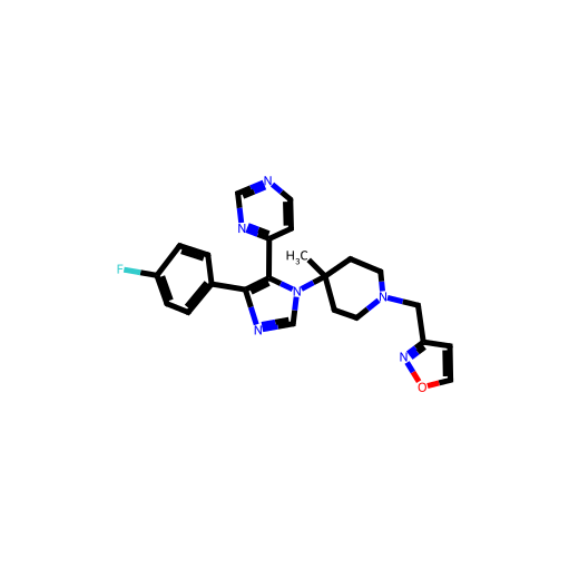 CC1(n2cnc(-c3ccc(F)cc3)c2-c2ccncn2)CCN(Cc2ccon2)CC1